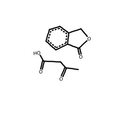 CC(=O)CC(=O)O.O=C1OCc2ccccc21